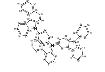 c1ccc(-c2ccccc2N(c2ccc(-n3c4ccccc4c4c5ccccc5ccc43)cc2)c2ccc3c(c2)c2ccccc2n3-c2ccccc2)cc1